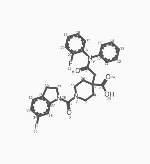 O=C(N1CCC(CC(=O)N(c2ccccc2)c2ccccc2F)(C(=O)O)CC1)N1CCc2ccc(F)cc21